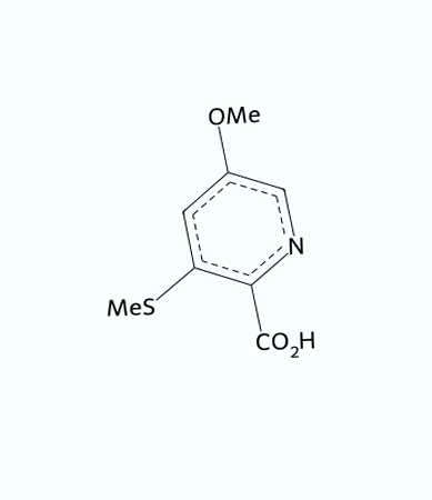 COc1cnc(C(=O)O)c(SC)c1